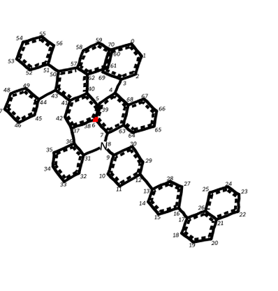 c1ccc(-c2ccc(N(c3ccc(-c4ccc(-c5cccc6ccccc56)cc4)cc3)c3ccccc3-c3ccc4c(c3)c(-c3ccccc3)c(-c3ccccc3)c3ccccc34)c3ccccc23)cc1